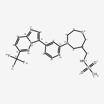 CS(=O)(=O)NCC1COCCN(c2cc(-c3cnc4ccc(C(F)(F)F)nn34)ccn2)C1